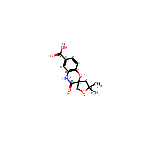 CC1(C)CC2(CO1)Oc1ccc(C(=O)O)cc1NC2=O